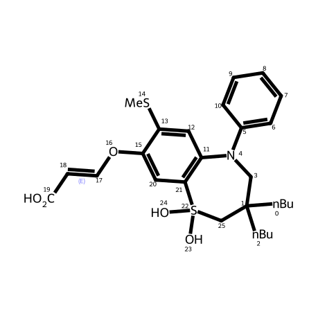 CCCCC1(CCCC)CN(c2ccccc2)c2cc(SC)c(O/C=C/C(=O)O)cc2S(O)(O)C1